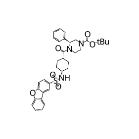 CC(C)(C)OC(=O)N1CCN(C(=O)[C@H]2CC[C@H](NS(=O)(=O)c3ccc4oc5ccccc5c4c3)CC2)[C@@H](c2ccccc2)C1